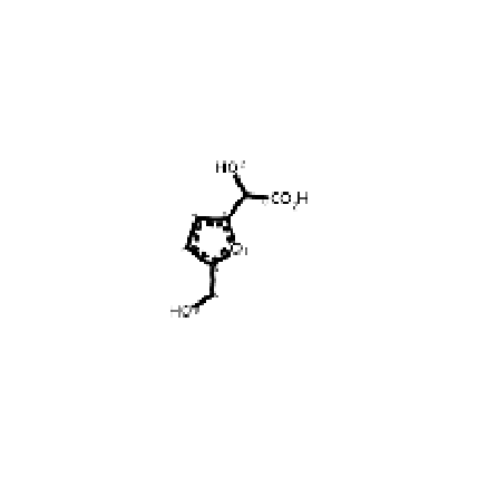 O=C(O)C(O)c1ccc(CO)o1